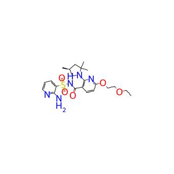 CCOCCOc1ccc(C(=O)NS(=O)(=O)c2cccnc2N)c(N2C[C@@H](C)CC2(C)C)n1